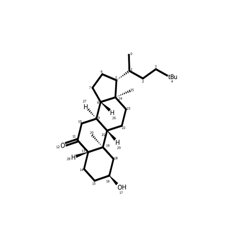 CC(CCC(C)(C)C)[C@H]1CC[C@H]2[C@@H]3CC(=O)[C@H]4CC[C@H](O)C[C@]4(C)[C@H]3CC[C@]12C